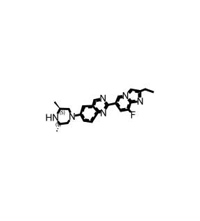 CCc1cn2cc(-c3ncc4cc(N5C[C@H](C)N[C@@H](C)C5)ccc4n3)cc(F)c2n1